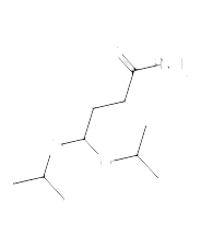 CC(C)OC(CCC(N)=O)OC(C)C